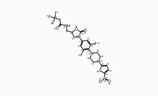 O=C(CC(F)(F)F)NCC1CN(c2cc(F)c(N3CCN(c4ccc([N+](=O)[O-])s4)CC3)c(F)c2)C(=O)O1